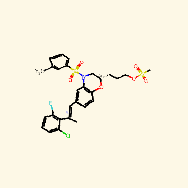 C/C(=C\c1ccc2c(c1)N(S(=O)(=O)c1cccc(C(F)(F)F)c1)C[C@H](CCCOS(C)(=O)=O)O2)c1c(F)cccc1Cl